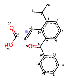 CC(C)c1cccc(C(=O)c2ccccc2)c1/C=C/C(=O)O